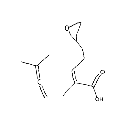 C=C=C(C)C.CC(=CCC1CO1)C(=O)O